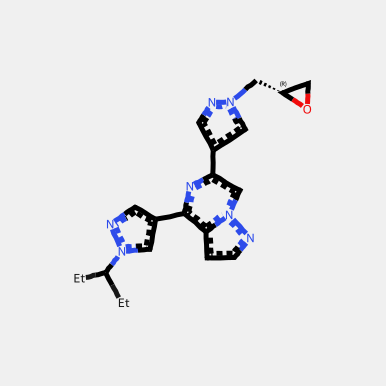 CCC(CC)n1cc(-c2nc(-c3cnn(C[C@@H]4CO4)c3)cn3nccc23)cn1